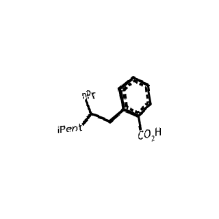 CCCC(C)C(CCC)Cc1ccccc1C(=O)O